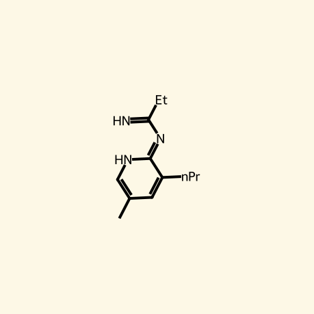 CCCc1cc(C)c[nH]/c1=N\C(=N)CC